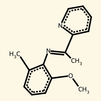 COc1cccc(C)c1N=C(C)c1ccccn1